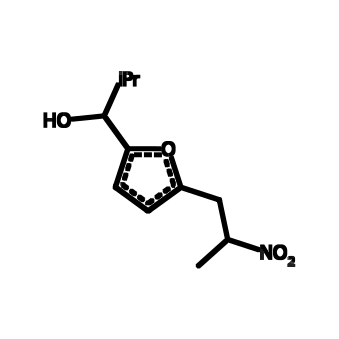 CC(C)C(O)c1ccc(CC(C)[N+](=O)[O-])o1